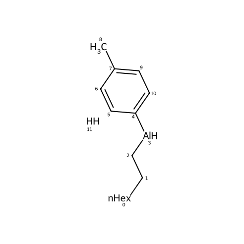 CCCCCCC[CH2][AlH][c]1ccc(C)cc1.[HH]